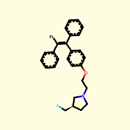 CC/C(=C(\c1ccccc1)c1ccc(OCCN2CC[C@@H](CF)C2)cc1)c1ccccc1